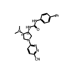 CC(C)c1ccc(NC(=O)N[C@H]2CN(c3ccc(C#N)nn3)C[C@H]2N(C)C)cc1